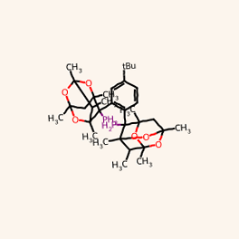 CC1C2(C)OC3(C)CC(C)(O2)C(P)(c2ccc(C(C)(C)C)cc2C2(P)C4(C)CC5(C)OC(C)(O4)C(C)C2(C)O5)C1(C)O3